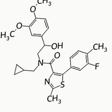 COc1ccc(C(O)CN(CC2CC2)C(=O)c2nc(C)sc2-c2ccc(C)c(F)c2)cc1OC